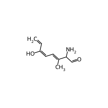 C=C/C(O)=C\C=C(/C)C(N)C=O